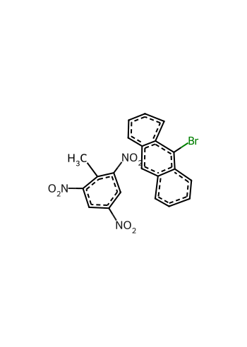 Brc1c2ccccc2cc2ccccc12.Cc1c([N+](=O)[O-])cc([N+](=O)[O-])cc1[N+](=O)[O-]